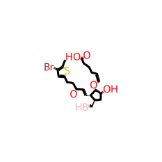 B=C[C@@H]1CC(O)[C@H](O/C=C\CCCC(=O)O)[C@H]1/C=C/C(=O)CCc1cc(Br)c(C)s1